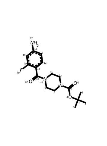 CC(C)(C)OC(=O)N1CCN(C(=O)c2ccc(N)cc2F)CC1